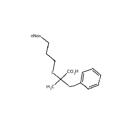 CCCCCCCCCCCCSC(C)(Cc1ccccc1)C(=O)O